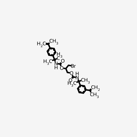 C=C(C)c1ccc(C(C)(C)NC(=O)OC(CBr)COC(=O)NC(C)(C)c2cccc(C(=C)C)c2)cc1